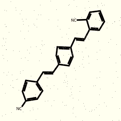 N#Cc1ccc(C=Cc2ccc(C=Cc3ccccc3C#N)cc2)cc1